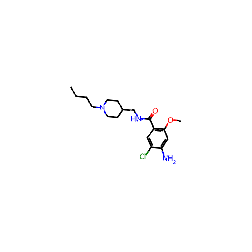 CCCCN1CCC(CNC(=O)c2cc(Cl)c(N)cc2OC)CC1